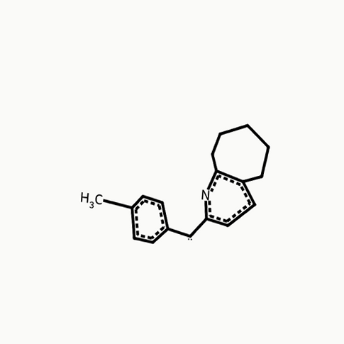 Cc1ccc([C]c2ccc3c(n2)CCCCC3)cc1